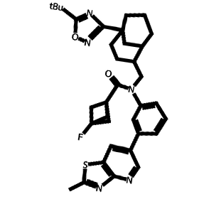 Cc1nc2ncc(-c3cccc(N(CC4CCC5(c6noc(C(C)(C)C)n6)CCCC4C5)C(=O)C45CC(F)(C4)C5)c3)cc2s1